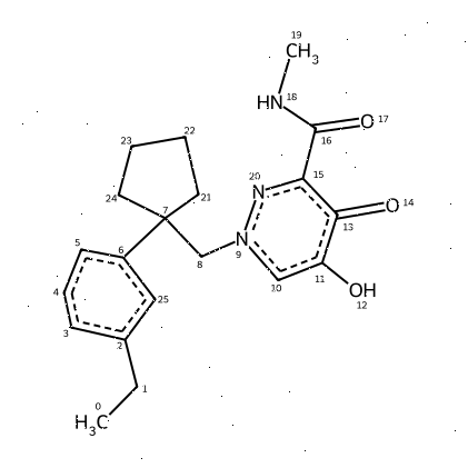 CCc1cccc(C2(Cn3cc(O)c(=O)c(C(=O)NC)n3)CCCC2)c1